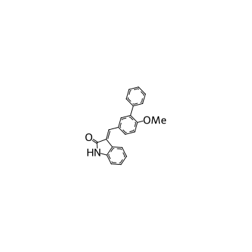 COc1ccc(/C=C2/C(=O)Nc3ccccc32)cc1-c1ccccc1